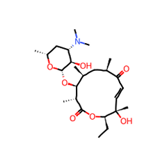 CC[C@H]1OC(=O)[C@H](C)[C@@H](O[C@@H]2O[C@H](C)C[C@H](N(C)C)[C@H]2O)[C@@H](C)C[C@@H](C)C(=O)/C=C/[C@]1(C)O